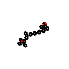 c1ccc(-c2ccccc2-n2c3ccccc3c3cc(-c4ccc5c(c4)c4ccccc4n5-c4ccc(-c5ccc(-c6ccc(-c7cccc(C8(c9ccccc9-c9ccccc9)c9ccccc9-c9ccccc98)c7)cc6)cc5)cc4)ccc32)cc1